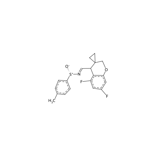 Cc1ccc([S@+]([O-])/N=C/C2c3c(F)cc(F)cc3OCC23CC3)cc1